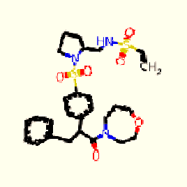 C=CS(=O)(=O)NCC1CCCN1S(=O)(=O)c1ccc(C(Cc2ccccc2)C(=O)N2CCCOCC2)cc1